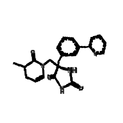 CC1CC=CN(CC2(c3cccc(-c4ccccn4)c3)NC(=O)NC2=O)C1=O